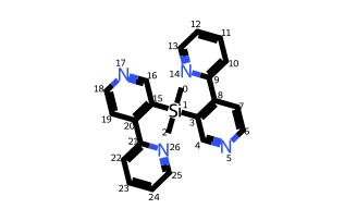 C[Si](C)(c1cnccc1-c1ccccn1)c1cnccc1-c1ccccn1